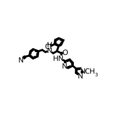 Cn1cc(-c2ccc(NC(=O)C(CNCCc3ccc(C#N)cc3)c3ccccc3Cl)nc2)cn1